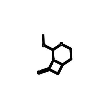 COC1OCCC2CC(=O)N21